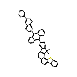 CC1(C)c2ccc(-c3c4ccccc4c(-c4ccc5cc(-c6ccccc6)ccc5c4)c4ccccc34)cc2-c2ccc3ccc4c5ccccc5sc4c3c21